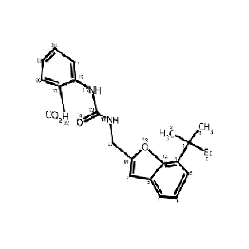 CCC(C)(C)c1cccc2cc(CNC(=O)Nc3ccccc3C(=O)O)oc12